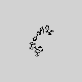 O=C(O)N[C@@H](C(=O)N1CCC[C@H]1c1ncc(-c2ccc(-c3ccc(-c4cnc([C@@H]5CCCN5C(=O)C5(O)CC5)[nH]4)cc3)cc2)[nH]1)c1ccccc1